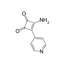 Nc1c(-c2ccncc2)c(=O)c1=O